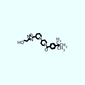 CC(C)(C)c1ccc(C(=O)N2CCC(N3CCCC(c4nc(CCO)no4)C3)CC2)cc1